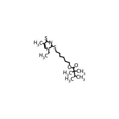 CCn1cc(C)c(=S)nc1SCCCCCCOC(=O)C(C)(C)C(C)C